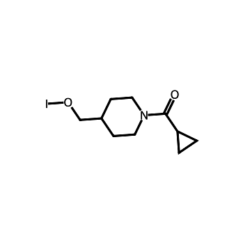 O=C(C1CC1)N1CCC(COI)CC1